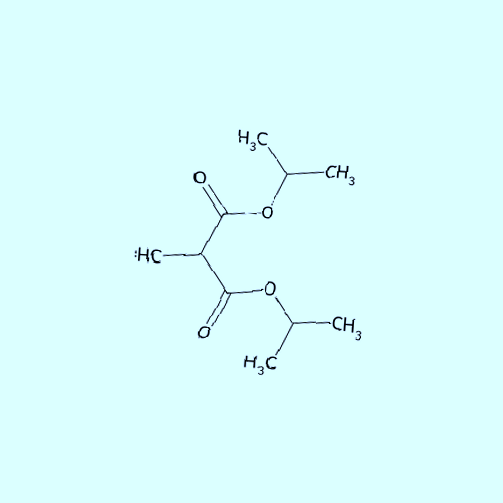 [CH]C(C(=O)OC(C)C)C(=O)OC(C)C